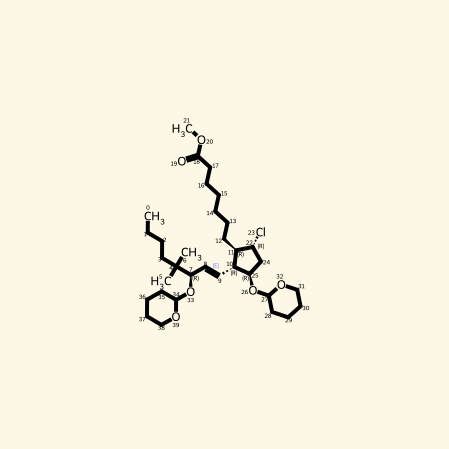 CCCCC(C)(C)[C@@H](/C=C/[C@@H]1[C@@H](CCCCCCC(=O)OC)[C@H](Cl)C[C@H]1OC1CCCCO1)OC1CCCCO1